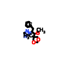 COC(C(Cc1ccccc1)n1cncn1)C1(C)COCOC1